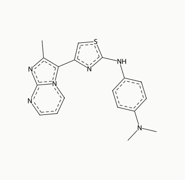 Cc1nc2ncccn2c1-c1csc(Nc2ccc(N(C)C)cc2)n1